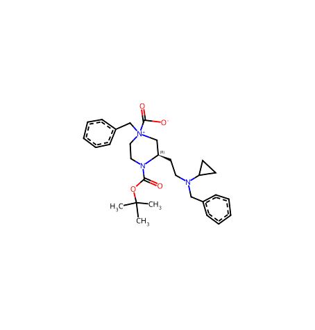 CC(C)(C)OC(=O)N1CC[N+](Cc2ccccc2)(C(=O)[O-])C[C@H]1CCN(Cc1ccccc1)C1CC1